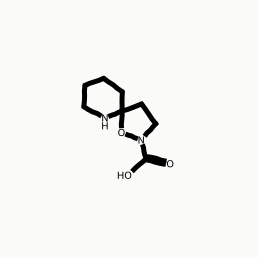 O=C(O)N1CCC2(CCCCN2)O1